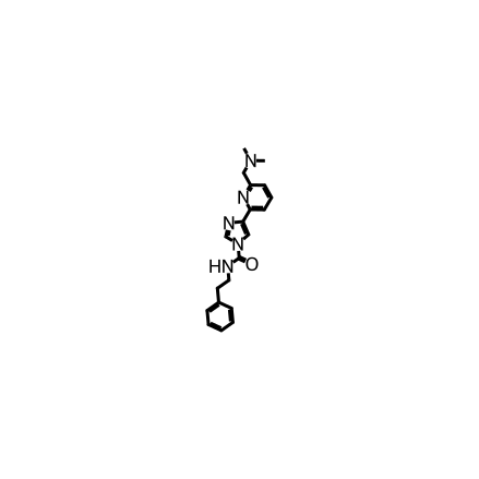 CN(C)Cc1cccc(-c2cn(C(=O)NCCc3ccccc3)cn2)n1